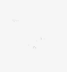 COc1ccc(S(=O)(=O)Nc2cccc(F)c2C(=O)O)cc1